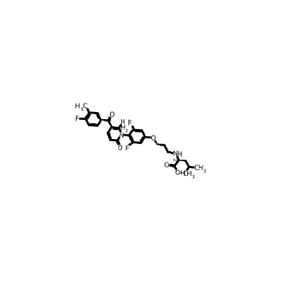 Cc1cc(C(=O)c2ccc(=O)n(-c3c(F)cc(OCCCN[C@@H](CC(C)C)C(=O)O)cc3F)c2N)ccc1F